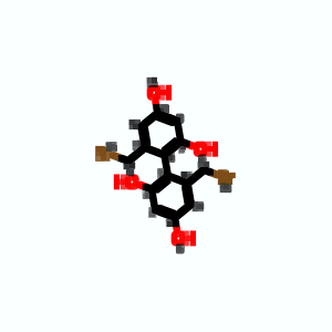 Oc1cc(O)c(-c2c(O)cc(O)cc2CBr)c(CBr)c1